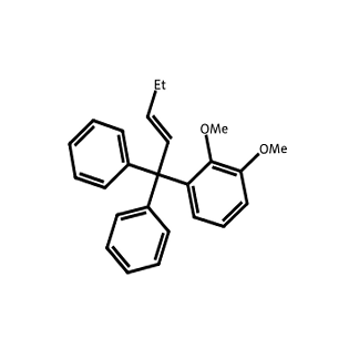 CCC=CC(c1ccccc1)(c1ccccc1)c1cccc(OC)c1OC